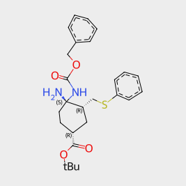 CC(C)(C)OC(=O)[C@@H]1CC[C@](N)(NC(=O)OCc2ccccc2)[C@H](CSc2ccccc2)C1